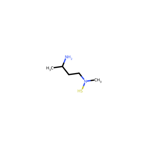 CC(N)CCN(C)S